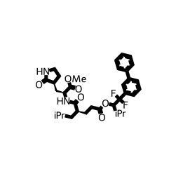 COC(=O)[C@H](C[C@@H]1CCNC1=O)NC(=O)[C@@H](CCC(=O)OC(C(C)C)C(F)(F)c1cccc(-c2ccccc2)c1)CC(C)C